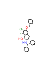 O[C@@H]1c2c(cc(OCc3ccccc3)c(Cl)c2F)C=C[C@H]1NC(c1ccccc1)c1ccccc1